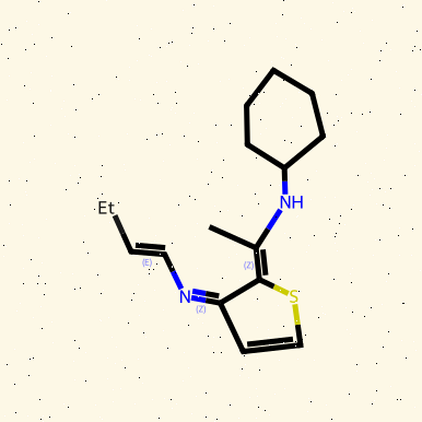 CC/C=C/N=C1/C=CS/C1=C(/C)NC1CCCCC1